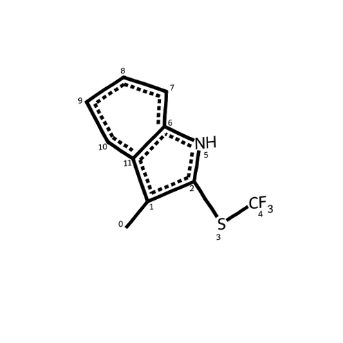 Cc1c(SC(F)(F)F)[nH]c2ccccc12